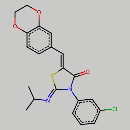 CC(C)/N=C1\S/C(=C\c2ccc3c(c2)OCCO3)C(=O)N1c1cccc(Cl)c1